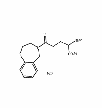 CNC(CCC(=O)N1CCOc2ccccc2C1)C(=O)O.Cl